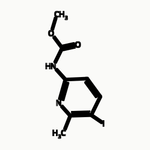 COC(=O)Nc1ccc(I)c(C)n1